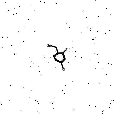 Fc1cc(Cl)ccc1[CH2][Zn]